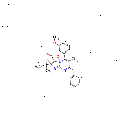 COc1cccc(C2=C(C)C(Cc3ccccc3F)=NC3=NC(C(C)(C)C)=C(C=O)[N+]32[O-])c1